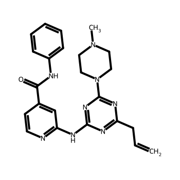 C=CCc1nc(Nc2cc(C(=O)Nc3ccccc3)ccn2)nc(N2CCN(C)CC2)n1